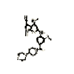 CNc1cc(Nc2ccc(C(=O)N3CCC(N4CCOCC4)CC3)cc2OC)nc2[nH]cc(C#N)c12